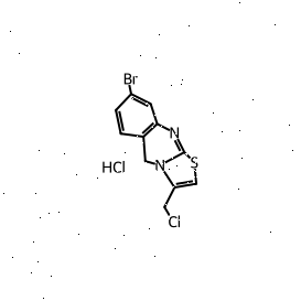 Cl.ClCC1=CSC2=Nc3cc(Br)ccc3CN12